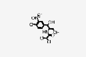 O=C(NC(CO)C(O)c1ccc(Cl)c([N+](=O)[O-])c1)C(Cl)Cl